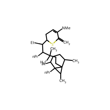 C=C1SC(C(CC)C(CCC)C(C)(C)CCC23C(C)CCC(C(C)C)C2(CCC)C3C)CC=C1NC